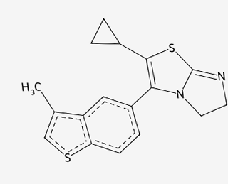 Cc1csc2ccc(C3=C(C4CC4)SC4=NCCN43)cc12